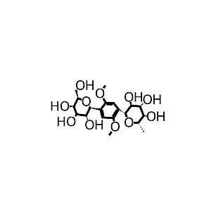 COc1cc([C@@H]2O[C@H](CO)[C@H](O)[C@H](O)[C@H]2O)c(OC)cc1[C@H]1O[C@@H](C)[C@@H](O)[C@@H](O)[C@@H]1O